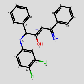 N=C(/C=C(\O)C(Nc1ccc(Cl)c(Cl)c1)c1ccccc1)c1ccccc1